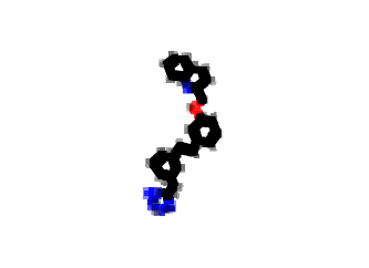 C(=Cc1cccc(OCc2ccc3ccccc3n2)c1)c1cccc(Cc2nnn[nH]2)c1